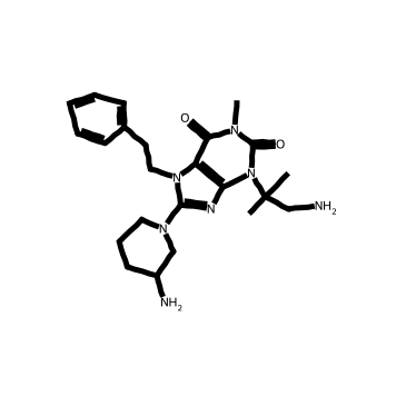 Cn1c(=O)c2c(nc(N3CCCC(N)C3)n2CCc2ccccc2)n(C(C)(C)CN)c1=O